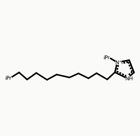 CC(C)CCCCCCCCCCc1[nH]cc[n+]1C(C)C